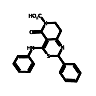 O=C(O)N1CCC2=NC(c3ccccc3)SC(Nc3ccccc3)=C2C1=O